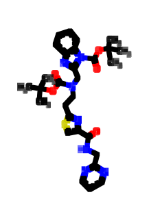 CC(C)(C)OC(=O)N(CCc1nc(C(=O)NCc2ncccn2)cs1)Cc1nc2ccccc2n1C(=O)OC(C)(C)C